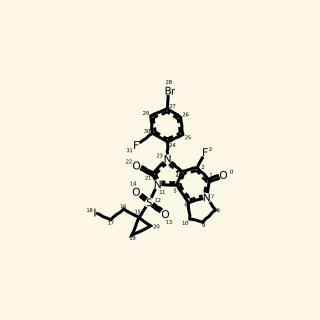 O=c1c(F)c2c(c3n1CCC3)n(S(=O)(=O)C1(CCI)CC1)c(=O)n2-c1ccc(Br)cc1F